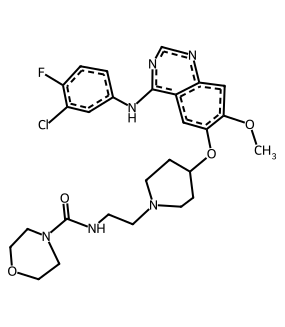 COc1cc2ncnc(Nc3ccc(F)c(Cl)c3)c2cc1OC1CCN(CCNC(=O)N2CCOCC2)CC1